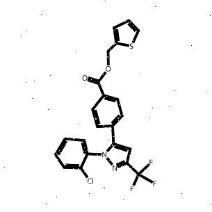 O=C(OCc1cccs1)c1ccc(-c2cc(C(F)(F)F)nn2-c2ccccc2Cl)cc1